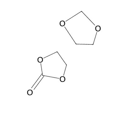 C1COCO1.O=C1OCCO1